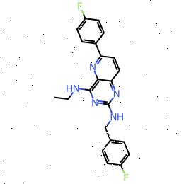 CCNc1nc(NCc2ccc(F)cc2)nc2ccc(-c3ccc(F)cc3)nc12